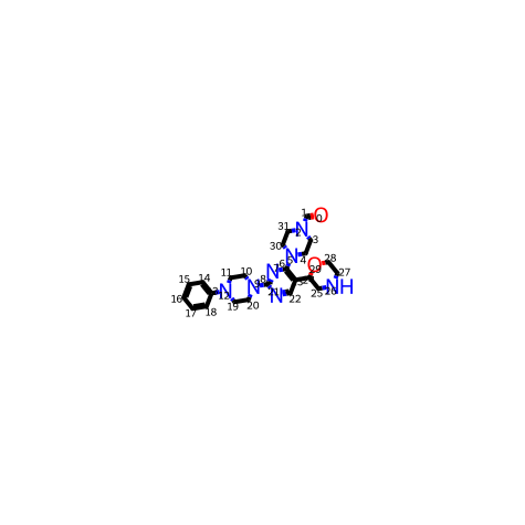 O=CN1CCN(c2nc(N3CCN(c4ccccc4)CC3)ncc2C2CNCCO2)CC1